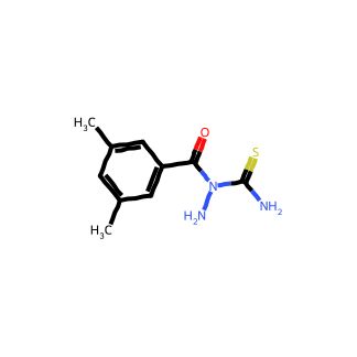 Cc1cc(C)cc(C(=O)N(N)C(N)=S)c1